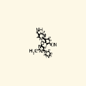 Cc1nc(Oc2cc(C#N)ccc2-c2ncc(CN)cn2)cc(N2C=NCCC2)n1